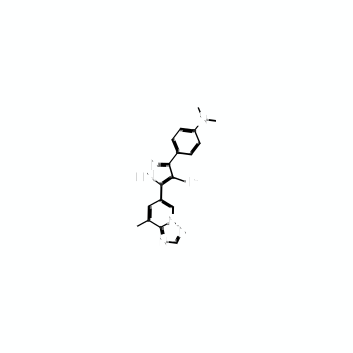 Cc1cc(-c2[nH]nc(-c3ccc(N(C)C)cc3)c2C(C)C)cn2ncnc12